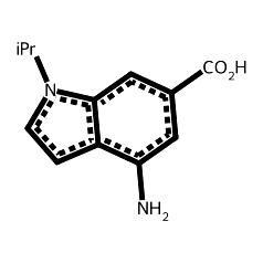 CC(C)n1ccc2c(N)cc(C(=O)O)cc21